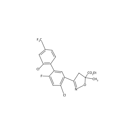 CCOC(=O)C1(C)CC(c2cc(-c3ccc(C(F)(F)F)cc3Cl)c(F)cc2Cl)=NO1